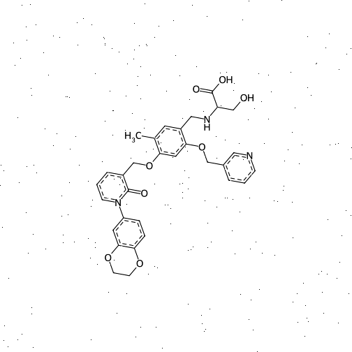 Cc1cc(CNC(CO)C(=O)O)c(OCc2cccnc2)cc1OCc1cccn(-c2ccc3c(c2)OCCO3)c1=O